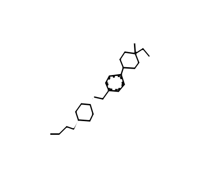 CCCC[C@H]1CC[C@H](CCc2ccc(C3CCC(C)(CC)CC3)cc2)CC1